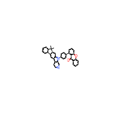 CC1(C)c2ccccc2-c2cc3c4ccncc4n(-c4ccc(-c5cccc6oc7ccccc7c(=O)c56)cc4)c3cc21